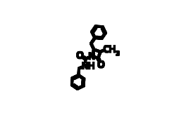 CC1C(=O)N(C(=O)NCc2ccccc2)C1Cc1ccccc1